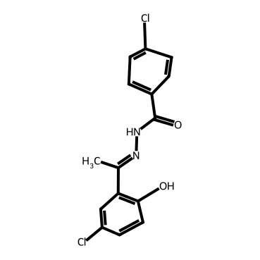 C/C(=N\NC(=O)c1ccc(Cl)cc1)c1cc(Cl)ccc1O